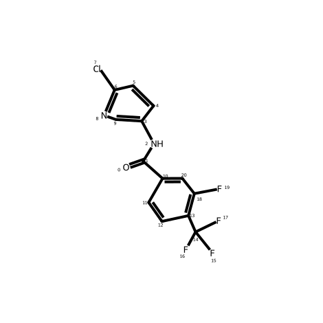 O=C(Nc1ccc(Cl)nc1)c1ccc(C(F)(F)F)c(F)c1